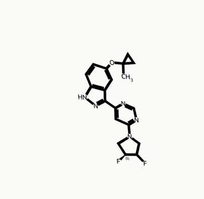 CC1(Oc2ccc3[nH]nc(-c4cc(N5CC(F)[C@@H](F)C5)ncn4)c3c2)CC1